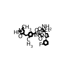 CCC(CC)(C(N)=O)[C@H]1CC[C@@H](c2cccc(F)c2)N1C(=O)[C@@H](C)NC(=O)c1ccc(Cc2cc(C)n[nH]c2=O)c(C)c1